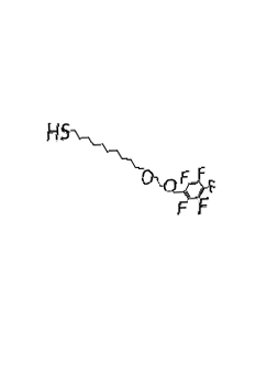 Fc1c(F)c(F)c(COCCOCCCCCCCCCCCS)c(F)c1F